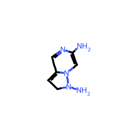 NC1=CN2C(=CCN2N)C=N1